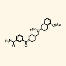 CCCN(CC1CCN(C(=O)c2cccc(C(N)=O)c2)CC1)[C@@H]1CCc2c(cccc2OC)C1